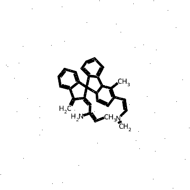 C=N/C=C\C1=C(C)C2c3ccccc3C3(/C(=C/C(N)=C\C)C(=C)c4ccccc43)C2C=C1